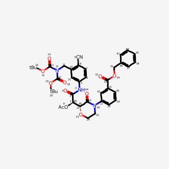 CC(=O)O[C@@H](C(=O)Nc1ccc(C#N)c(CN(C(=O)OC(C)(C)C)C(=O)OC(C)(C)C)c1)[C@H]1OCCN(c2cccc(C(=O)OCc3ccccc3)c2)C1=O